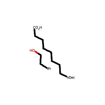 CC(C)CCO.CCCCCCCCCCCCCCCCCC(=O)O